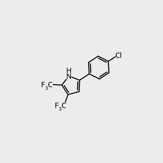 FC(F)(F)c1cc(-c2ccc(Cl)cc2)[nH]c1C(F)(F)F